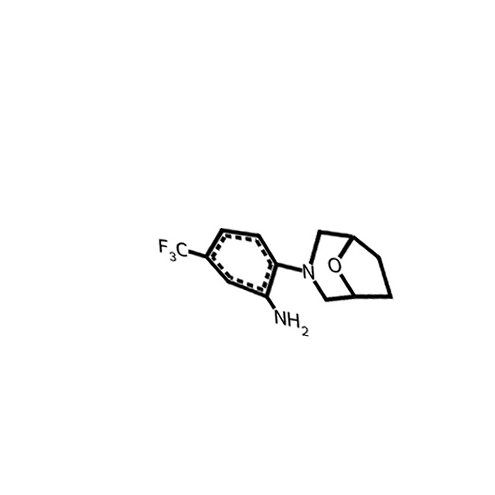 Nc1cc(C(F)(F)F)ccc1N1CC2CCC(C1)O2